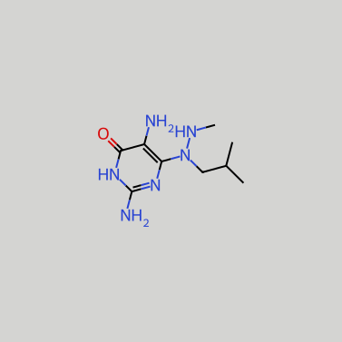 CNN(CC(C)C)c1nc(N)[nH]c(=O)c1N